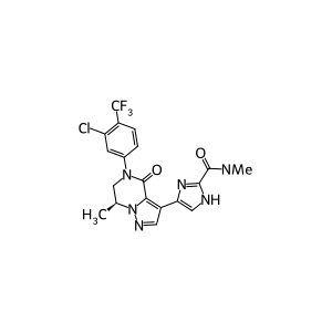 CNC(=O)c1nc(-c2cnn3c2C(=O)N(c2ccc(C(F)(F)F)c(Cl)c2)C[C@@H]3C)c[nH]1